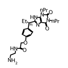 CCCn1c(=O)c2nc([C@H](CC)c3ccc(OCC(=O)NCCN)cc3)[nH]c2n(CCC)c1=O